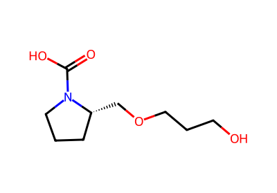 O=C(O)N1CCC[C@H]1COCCCO